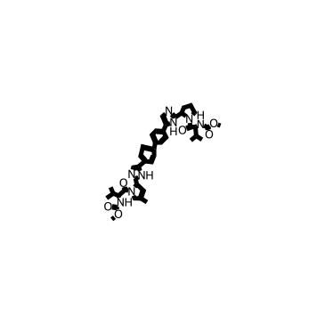 COC(=O)NC(C(=O)N1CC(C)=CC1c1ncc(-c2ccc(-c3ccc(-c4cnc(C5CCCN5C(=O)C(NC(=O)OC)C(C)C)[nH]4)cc3)cc2)[nH]1)C(C)C